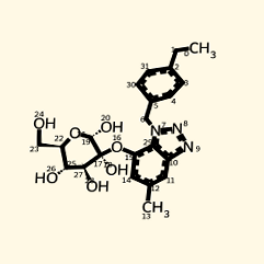 CCc1ccc(Cn2nnc3cc(C)cc(O[C@]4(O)[C@@H](O)O[C@H](CO)[C@@H](O)[C@@H]4O)c32)cc1